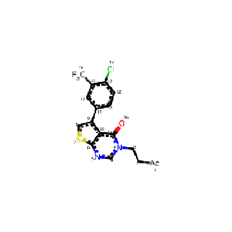 CC(=O)CCn1cnc2scc(-c3ccc(Cl)c(C(F)(F)F)c3)c2c1=O